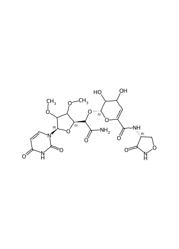 COC1C(OC)[C@H](n2ccc(=O)[nH]c2=O)O[C@@H]1C(O[C@H]1OC(C(=O)N[C@@H]2CONC2=O)=CC(O)C1O)C(N)=O